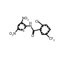 O=C(Nc1sc([N+](=O)[O-])cc1[N+](=O)[O-])c1cc(C(F)(F)F)ccc1Cl